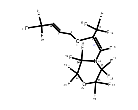 F/C(=C(/OCC=CC(F)(F)F)C(F)(F)F)N1C(F)(F)C(F)(F)OC(F)(F)C1(F)F